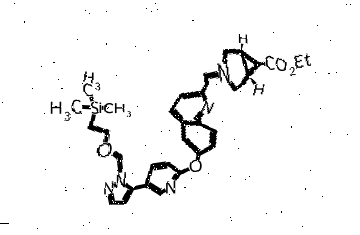 CCOC(=O)[C@H]1[C@@H]2CN(Cc3ccc4cc(Oc5ccc(-c6ccnn6COCC[Si](C)(C)C)cn5)ccc4n3)C[C@@H]21